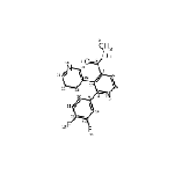 COC(=O)c1ccnc(-c2ccc(F)c(F)c2)c1C1=CN=CCC1